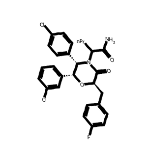 CCCC(C(N)=O)N1C(=O)[C@@H](Cc2ccc(F)cc2)O[C@H](c2cccc(Cl)c2)[C@@H]1c1ccc(Cl)cc1